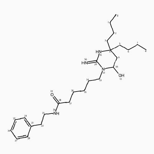 CCCCC1(CCCC)CC(O)N(CCCCCC(=O)NCCc2ccccc2)C(=N)N1